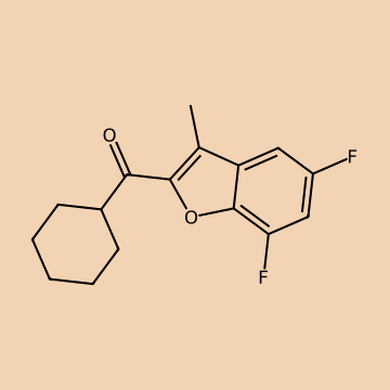 Cc1c(C(=O)C2CCCCC2)oc2c(F)cc(F)cc12